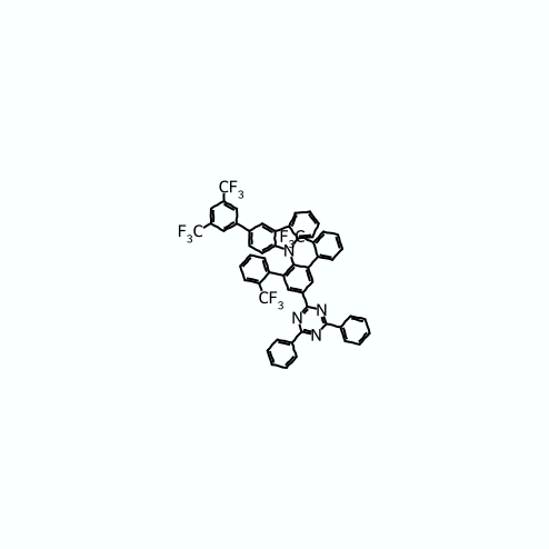 FC(F)(F)c1cc(-c2ccc3c(c2)c2ccccc2n3-c2c(-c3ccccc3C(F)(F)F)cc(-c3nc(-c4ccccc4)nc(-c4ccccc4)n3)cc2-c2ccccc2C(F)(F)F)cc(C(F)(F)F)c1